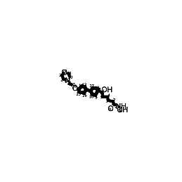 O=C(CCCC[C@@H](O)c1ccc(-c2ccc(OCCN3CCOCC3)cc2)cc1)NO